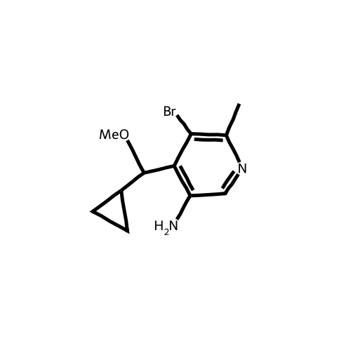 COC(c1c(N)cnc(C)c1Br)C1CC1